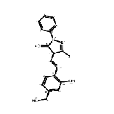 CC1=NN(c2ccccc2)C(=O)C1/C=N/c1ccc(CO)cc1O